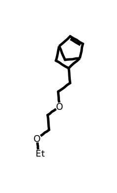 CCOCCOCCC1CC2C=CC1C2